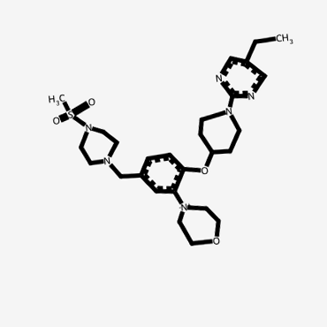 CCc1cnc(N2CCC(Oc3ccc(CN4CCN(S(C)(=O)=O)CC4)cc3[N+]3CCOCC3)CC2)nc1